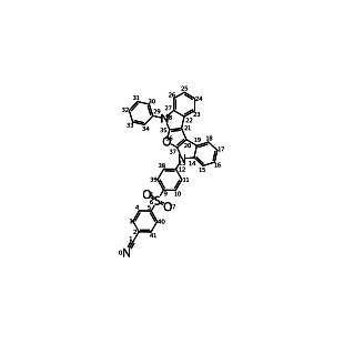 N#Cc1ccc(S(=O)(=O)c2ccc(-n3c4ccccc4c4c5c6ccccc6n(-c6ccccc6)c5oc43)cc2)cc1